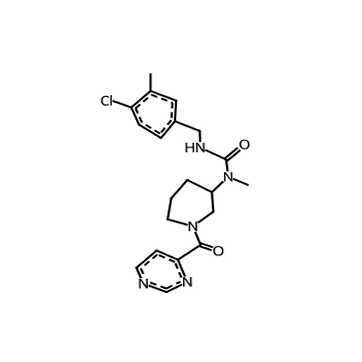 Cc1cc(CNC(=O)N(C)C2CCCN(C(=O)c3ccncn3)C2)ccc1Cl